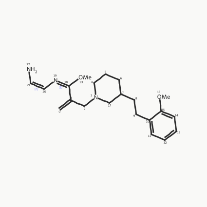 C=C(CN1CCCC(CCc2ccccc2OC)C1)/C(=N\C=C/N)OC